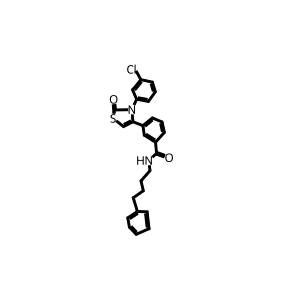 O=C(NCCCCc1ccccc1)c1cccc(-c2csc(=O)n2-c2cccc(Cl)c2)c1